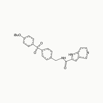 CC(C)COc1ccc(S(=O)(=O)c2ccc(CNC(=O)c3cc4cnccc4[nH]3)cc2)cc1